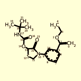 C=C(OCC)c1cccc(N2CSC(OC(=O)NC(C)(C)C)C2=O)c1